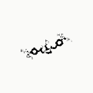 CCC1N(CC(=O)c2ccc(N(C)C)cc2)C=CN1N=Cc1ccc(N(C)C)cc1